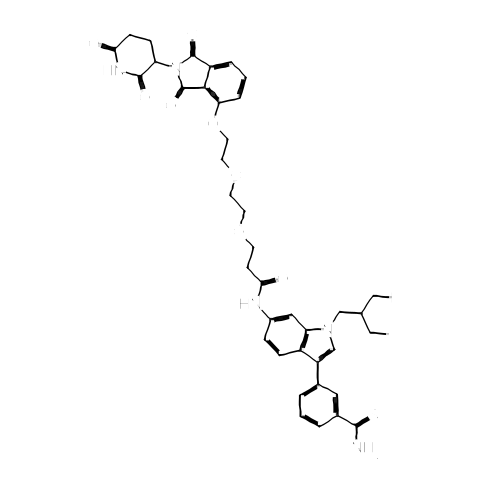 NC(=S)c1cccc(-c2cn(CC(CF)CF)c3cc(NC(=O)CCOCCOCCOc4cccc5c4C(=O)N(C4CCC(=O)NC4=O)C5=O)ccc23)c1